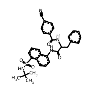 CC(C)(C)NS(=O)(=O)c1cccc2c(NC(=O)C(Cc3ccccc3)NC(=O)c3ccc(C#N)cc3)cccc12